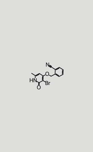 Cc1cc(OCc2ccccc2C#N)c(Br)c(=O)[nH]1